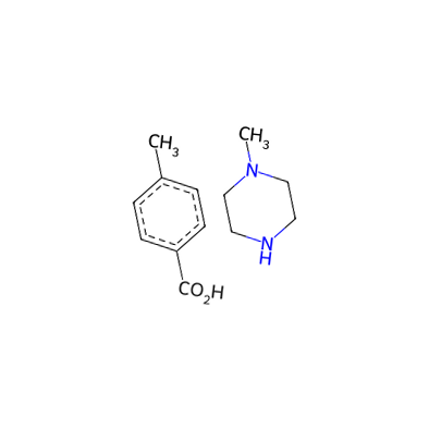 CN1CCNCC1.Cc1ccc(C(=O)O)cc1